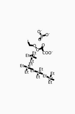 CC[N+](C)(CC)CC.CC[N+](C)(CC)CC.CC[N+](C)(CC)CC.CC[N+](C)(CC)CC.O=C([O-])C(=O)OOCI.[O-]B([O-])[O-]